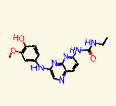 CCNC(=O)Nc1ccc2ncc(Nc3ccc(O)c(OC)c3)nc2n1